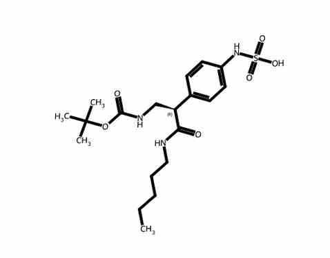 CCCCCNC(=O)[C@@H](CNC(=O)OC(C)(C)C)c1ccc(NS(=O)(=O)O)cc1